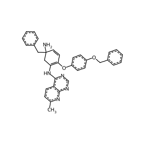 Cc1ccc2c(NC3=C(Oc4ccc(OCc5ccccc5)cc4)C=CC(N)(Cc4ccccc4)C3)ncnc2n1